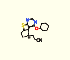 N#CCC[C@H]1CCCc2sc3ncnc(OC4CCCCC4)c3c21